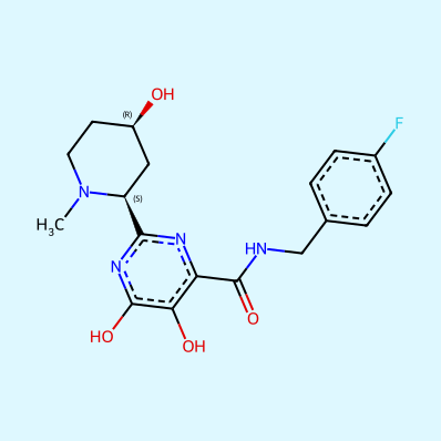 CN1CC[C@@H](O)C[C@H]1c1nc(O)c(O)c(C(=O)NCc2ccc(F)cc2)n1